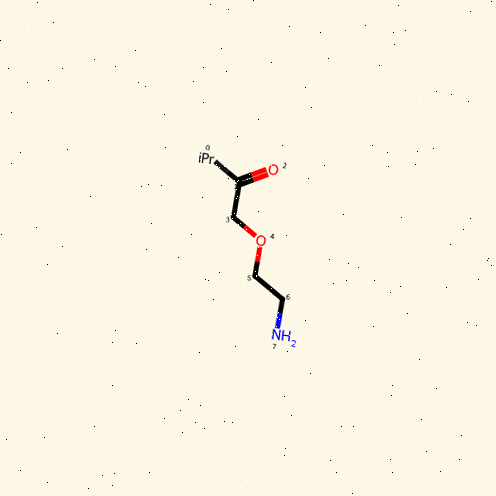 CC(C)C(=O)COCCN